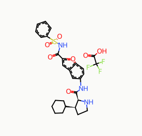 O=C(NS(=O)(=O)c1ccccc1)c1cc2cc(NC(=O)[C@H]3NCC[C@H]3C3CCCCC3)ccc2o1.O=C(O)C(F)(F)F